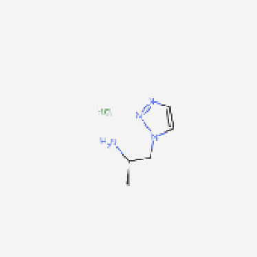 C[C@@H](N)Cn1ccnn1.Cl